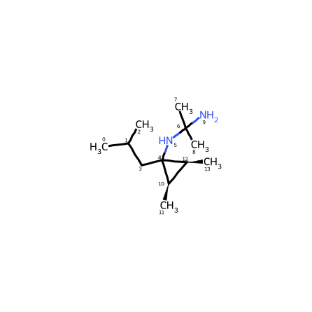 CC(C)CC1(NC(C)(C)N)[C@H](C)[C@@H]1C